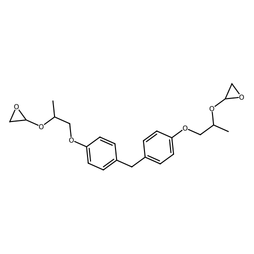 CC(COc1ccc(Cc2ccc(OCC(C)OC3CO3)cc2)cc1)OC1CO1